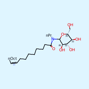 CCCCCCCC/C=C\CCCCCCCC(=O)N(CCC)C1O[C@H](CO)[C@@H](O)[C@H](O)[C@H]1O